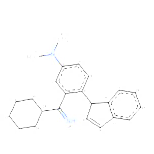 CN(C)c1ccc(C2C=Cc3ccccc32)c(C(=N)C2CCCCC2)c1